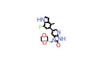 Cc1c(-c2cnc3[nH]c(=O)n(C[C@H]4COCCO4)c3c2)cc(F)c2[nH]ccc12